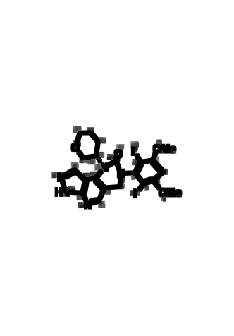 COc1cc(OC)c(F)c(N2Cc3cnc4[nH]ncc4c3N([C@H]3CCCOC3)C2=O)c1F